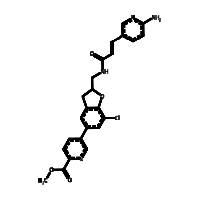 COC(=O)c1ccc(-c2cc(Cl)c3c(c2)CC(CNC(=O)C=Cc2ccc(N)nc2)O3)cn1